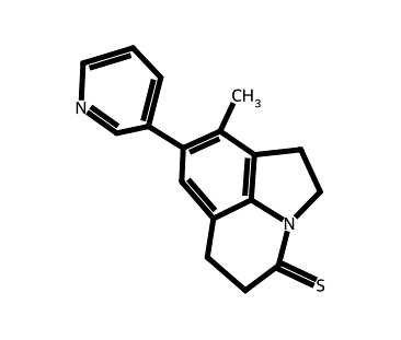 Cc1c(-c2cccnc2)cc2c3c1CCN3C(=S)CC2